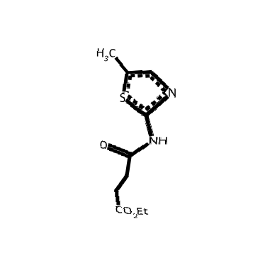 CCOC(=O)CCC(=O)Nc1ncc(C)s1